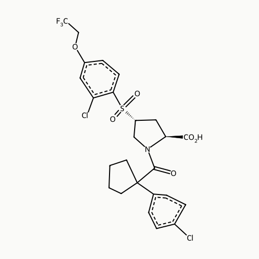 O=C(O)[C@@H]1C[C@@H](S(=O)(=O)c2ccc(OCC(F)(F)F)cc2Cl)CN1C(=O)C1(c2ccc(Cl)cc2)CCCC1